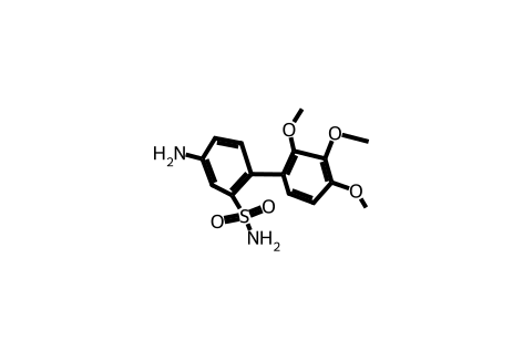 COc1ccc(-c2ccc(N)cc2S(N)(=O)=O)c(OC)c1OC